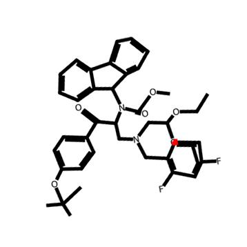 CCOC(CN(Cc1ccc(F)cc1F)CC(C(=O)c1ccc(OC(C)(C)C)cc1)N(C(=O)OC)C1c2ccccc2-c2ccccc21)OCC